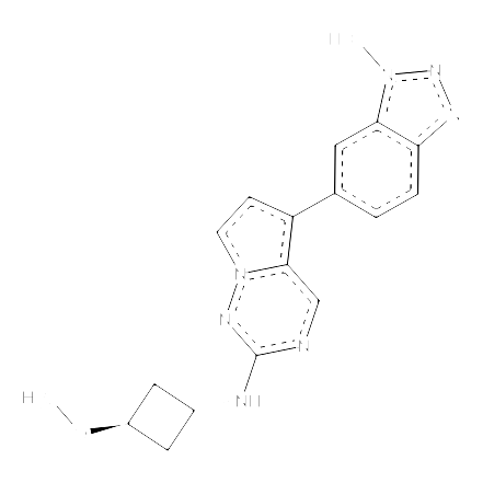 CO[C@H]1C[C@H](Nc2ncc3c(-c4ccc5nnn(C)c5c4)ccn3n2)C1